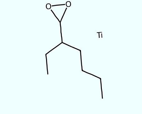 CCCCC(CC)C1OO1.[Ti]